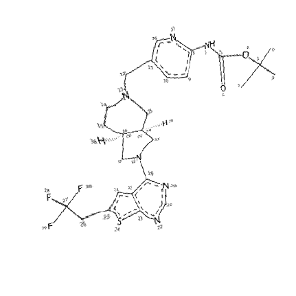 CC(C)(C)OC(=O)Nc1ccc(CN2CC[C@@H]3CN(c4ncnc5sc(CC(F)(F)F)cc45)C[C@@H]3C2)cn1